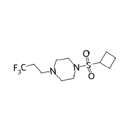 O=S(=O)(C1CCC1)N1CCN(CCC(F)(F)F)CC1